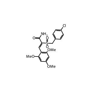 COc1cc(OC)c(C=C(C(N)=O)S(=O)(=O)Cc2ccc(Cl)cc2)c(OC)c1